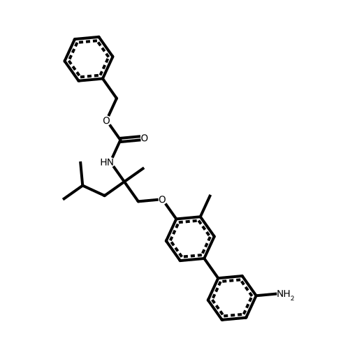 Cc1cc(-c2cccc(N)c2)ccc1OCC(C)(CC(C)C)NC(=O)OCc1ccccc1